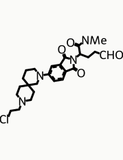 CNC(=O)C(CCC=O)N1C(=O)c2ccc(N3CCCC4(CCN(CCCl)CC4)C3)cc2C1=O